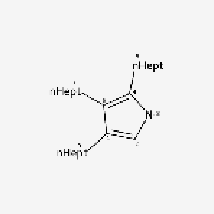 CCCCCCCC1=C[N]C(CCCCCCC)=C1CCCCCCC